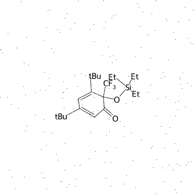 CC[Si](CC)(CC)OC1(C(F)(F)F)C(=O)C=C(C(C)(C)C)C=C1C(C)(C)C